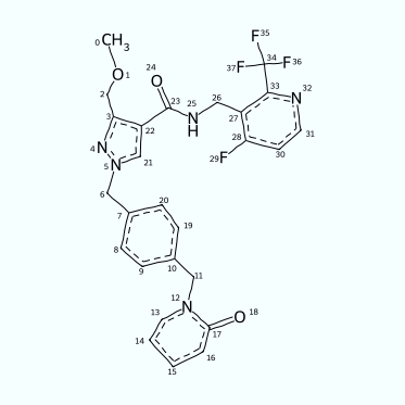 COCc1nn(Cc2ccc(Cn3ccccc3=O)cc2)cc1C(=O)NCc1c(F)ccnc1C(F)(F)F